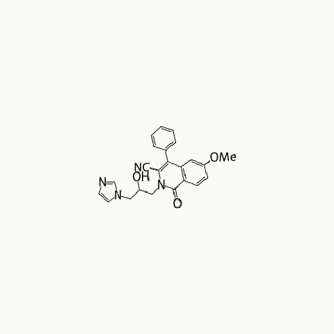 COc1ccc2c(=O)n(CC(O)Cn3ccnc3)c(C#N)c(-c3ccccc3)c2c1